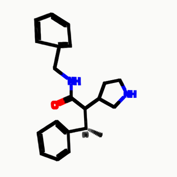 C[C@H](c1ccccc1)C(C(=O)NCc1ccccc1)C1CCNC1